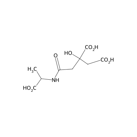 CC(NC(=O)CC(O)(CC(=O)O)C(=O)O)C(=O)O